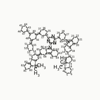 CC1(C)c2ccccc2-c2ccc(-c3ccc4c(c3)c3ccccc3n4-c3cccc(-c4nc(-c5cccc(-c6cc(-c7ccccc7)cc(-c7ccccc7)c6)c5)nc(-n5c6ccccc6c6cc(-c7ccc8c(c7)C(C)(C)c7ccccc7-8)ccc65)n4)c3)cc21